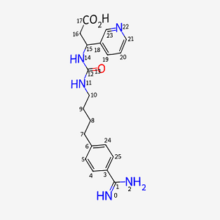 N=C(N)c1ccc(CCCCNC(=O)NC(CC(=O)O)c2cccnc2)cc1